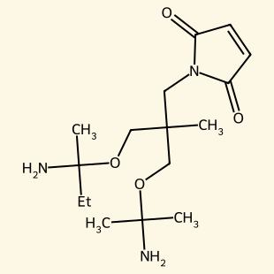 CCC(C)(N)OCC(C)(COC(C)(C)N)CN1C(=O)C=CC1=O